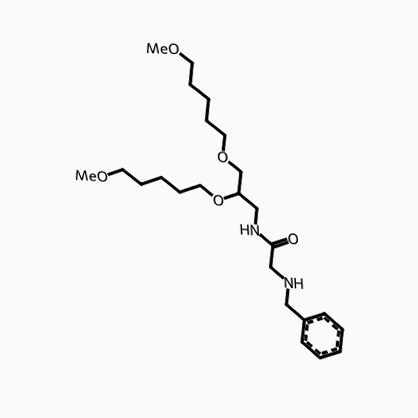 COCCCCCOCC(CNC(=O)CNCc1ccccc1)OCCCCCOC